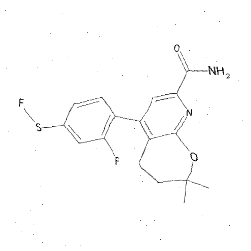 CC1(C)CCc2c(-c3ccc(SF)cc3F)cc(C(N)=O)nc2O1